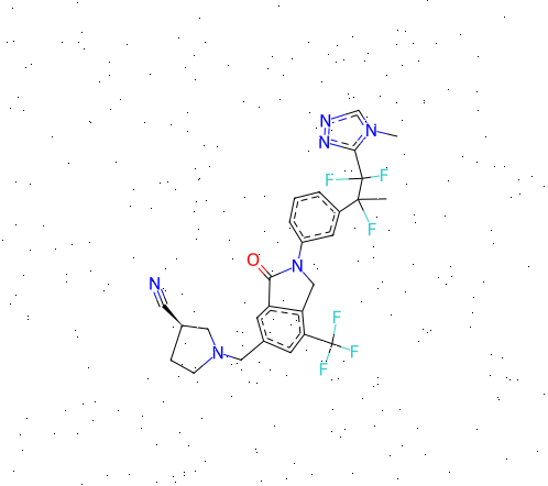 Cn1cnnc1C(F)(F)C(C)(F)c1cccc(N2Cc3c(cc(CN4CC[C@@H](C#N)C4)cc3C(F)(F)F)C2=O)c1